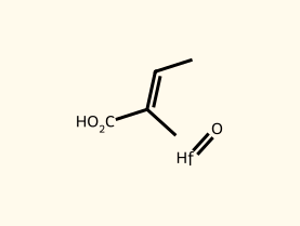 CC=C(C)C(=O)O.[O]=[Hf]